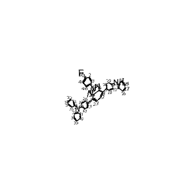 Fc1ccc(-n2nc3c(-c4ccc(Nc5ccccc5)cc4)ccc(-c4ccc(N(c5ccccc5)c5ccccc5)cc4)c3n2)cc1